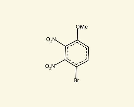 COc1ccc(Br)c([N+](=O)[O-])c1[N+](=O)[O-]